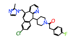 Cc1nccn1CC1=Cc2cc(Cl)ccc2C(C2CCN(C(=O)Cc3ccc(F)cc3)CC2)c2ncccc21